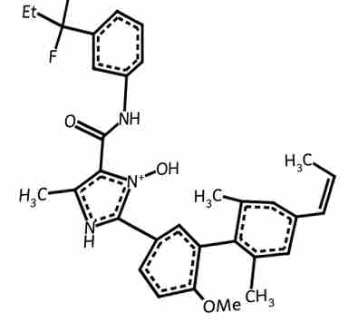 C/C=C\c1cc(C)c(-c2cc(-c3[nH]c(C)c(C(=O)Nc4cccc(C(F)(F)CC)c4)[n+]3O)ccc2OC)c(C)c1